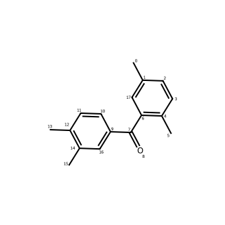 Cc1ccc(C)c(C(=O)c2ccc(C)c(C)c2)c1